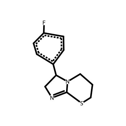 Fc1ccc(C2CN=C3SCCCN32)cc1